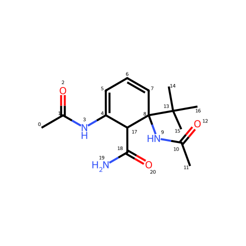 CC(=O)NC1=CC=CC(NC(C)=O)(C(C)(C)C)C1C(N)=O